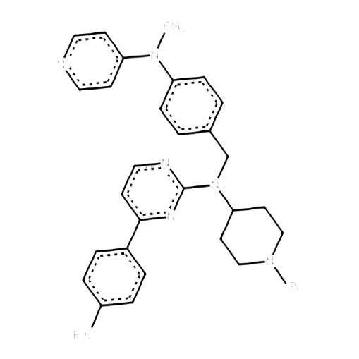 CC(C)N1CCC(N(Cc2ccc(N(C)c3ccncc3)cc2)c2nccc(-c3ccc(C(F)(F)F)cc3)n2)CC1